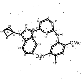 COc1cc(F)c([N+](=O)[O-])cc1Nc1nccc(-c2nn(C34CC(C3)C4)c3ccccc23)n1